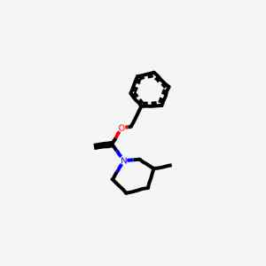 C=C(OCc1ccccc1)N1CCCC(C)C1